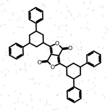 O=C1OC(C2CC(c3ccccc3)CC(c3ccccc3)C2)=C2C(=O)OC(C3CC(c4ccccc4)CC(c4ccccc4)C3)=C12